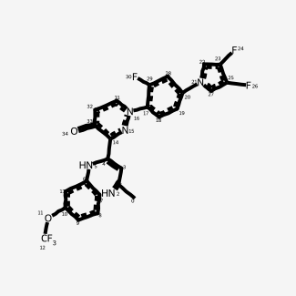 CC(=N)/C=C(\Nc1cccc(OC(F)(F)F)c1)c1nn(-c2ccc(-n3cc(F)c(F)c3)cc2F)ccc1=O